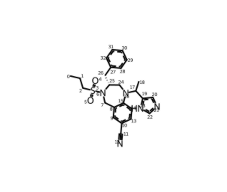 CCCS(=O)(=O)N1Cc2cc(C#N)ccc2N(C(C)c2cnc[nH]2)C[C@H]1Cc1ccccc1